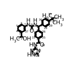 CC(O)c1cccc(NC(=O)NC(c2ccc(C(=O)Nc3nn[nH]n3)cc2)c2ccc(C(C)(C)C)cc2)c1